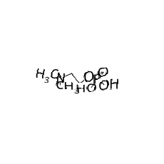 CN(C)CCOP(=O)(O)O